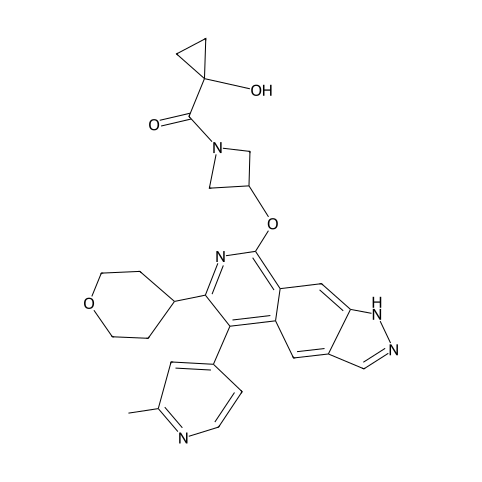 Cc1cc(-c2c(C3CCOCC3)nc(OC3CN(C(=O)C4(O)CC4)C3)c3cc4[nH]ncc4cc23)ccn1